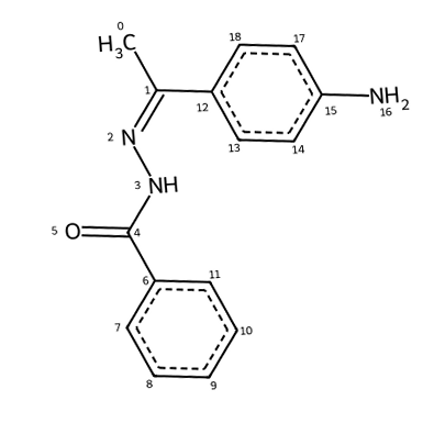 CC(=NNC(=O)c1ccccc1)c1ccc(N)cc1